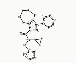 O=C(c1nc(-c2ccccc2)n2c1CCCCC2)N(Cc1ccco1)C1CC1